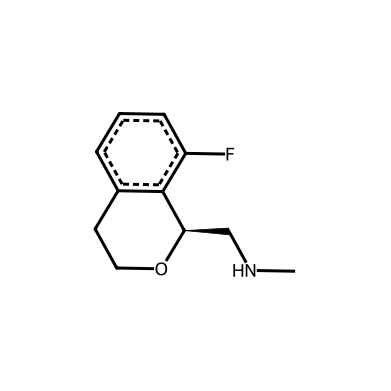 CNC[C@H]1OCCc2cccc(F)c21